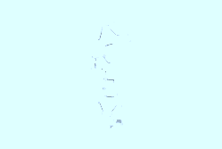 COc1cc(-c2cn(C(=O)Oc3ccc([N+](=O)[O-])cc3)cn2)ccc1F